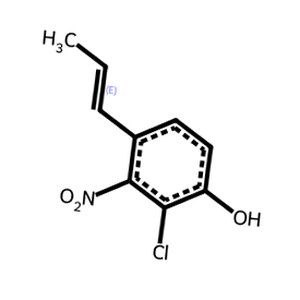 C/C=C/c1ccc(O)c(Cl)c1[N+](=O)[O-]